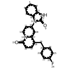 O=c1[nH]c2ccccc2n1-c1ccn2c(=O)ccc(Cc3ccc(F)cc3)c2c1